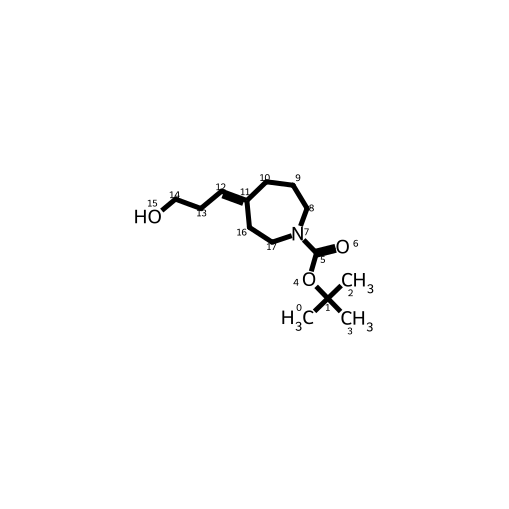 CC(C)(C)OC(=O)N1CCC/C(=C/CCO)CC1